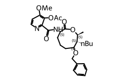 CCCC[C@H]1[C@H](C)OC(=O)[C@@H](NC(=O)c2nccc(OC)c2OC(C)=O)CCC[C@@H]1OCc1ccccc1